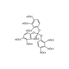 CCCCCCCCc1ccc(OP(=O)(Oc2ccc(CCCCCCCC)c(CCCCCCCC)c2CCCCCCCC)Oc2ccc(CCCCCCCC)c(CCCCCCCC)c2CCCCCCCC)c(CCCCCCCC)c1CCCCCCCC